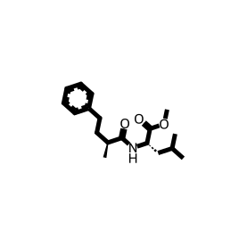 COC(=O)[C@H](CC(C)C)NC(=O)[C@@H](C)CCc1ccccc1